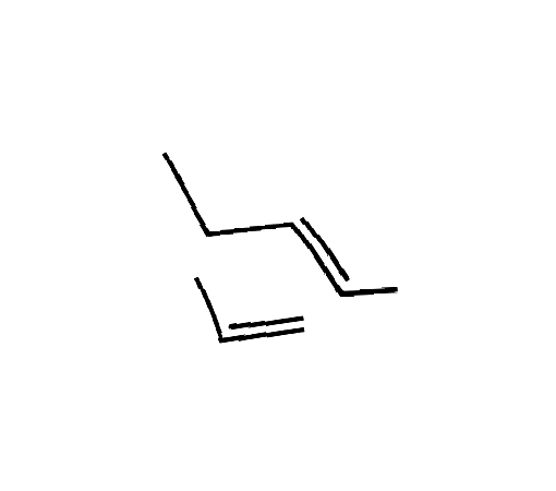 C/C=C/CC.C=CC